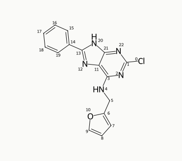 Clc1nc(NCc2ccco2)c2nc(-c3ccccc3)[nH]c2n1